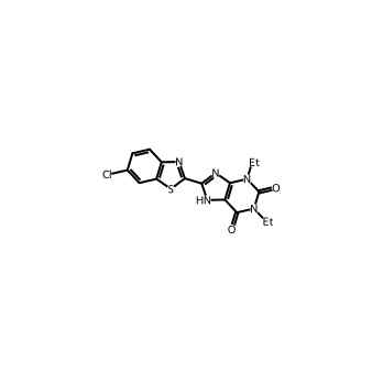 CCn1c(=O)c2[nH]c(-c3nc4ccc(Cl)cc4s3)nc2n(CC)c1=O